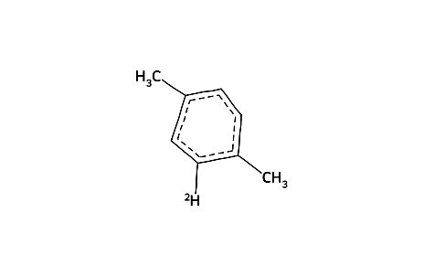 [2H]c1cc(C)ccc1C